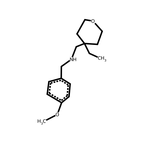 CCC1(CNCc2ccc(OC)cc2)CCOCC1